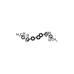 C[C@@H]1CC[C@@H](c2nc(-c3ccc4cc(-c5ccc(-c6cnc([C@@H]7CC[C@@H](C)N7)[nH]6)cc5)ccc4c3)c[nH]2)N1